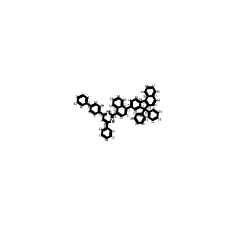 c1ccc(-c2ccc(-c3cc(-c4ccccc4)nc(-c4ccc(-c5ccc6c(c5)C(c5ccccc5)(c5ccccc5)c5ccc7ccccc7c5-6)c5ccccc45)n3)cc2)cc1